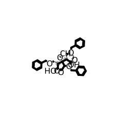 COC(C(C=O)OCc1ccccc1)([C@H](COCc1ccccc1)C(=O)O)[C@@H](COCc1ccccc1)C(=O)O